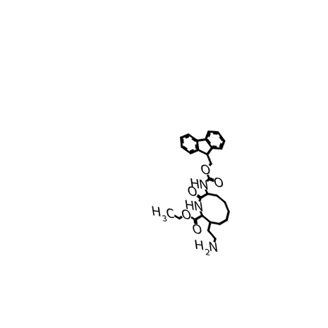 CCOC(=O)C1NC(=O)C(NC(=O)OCC2c3ccccc3-c3ccccc32)CCCCCC1CCN